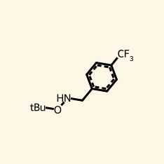 CC(C)(C)ONCc1ccc(C(F)(F)F)cc1